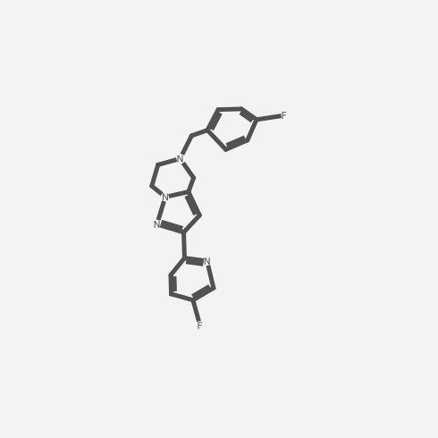 Fc1ccc(CN2CCn3nc(-c4ccc(F)cn4)cc3C2)cc1